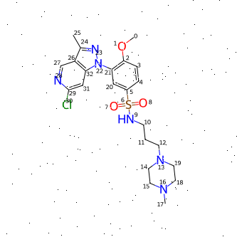 COc1ccc(S(=O)(=O)NCCCN2CCN(C)CC2)cc1-n1nc(C)c2cnc(Cl)cc21